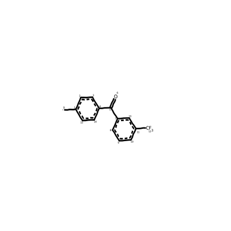 [CH2]c1ccc(C(=O)c2cccc(C(F)(F)F)c2)cc1